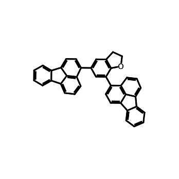 c1ccc2c(c1)-c1cccc3c(-c4cc5c(c(-c6ccc7c8c(cccc68)-c6ccccc6-7)c4)OCC5)ccc-2c13